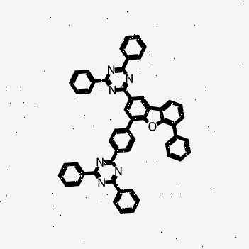 c1ccc(-c2nc(-c3ccccc3)nc(-c3ccc(-c4cc(-c5nc(-c6ccccc6)nc(-c6ccccc6)n5)cc5c4oc4c(-c6ccccc6)cccc45)cc3)n2)cc1